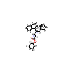 O=Cc1ccc2ccccc2c1C(=C\c1ccccc1)/C=C/C(=O)Oc1ccccc1